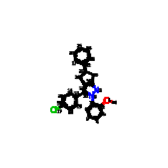 COc1ccccc1-n1nc2c(c1-c1ccc(Cl)cc1)CC(c1ccccc1)C2